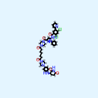 O=C1CCC(Nc2ccc(N3CCN(C(=O)CCCCCC(=O)N4CCN(C(=O)c5cc(NC(=O)c6cc(-c7ccccn7)c(Cl)cc6Cl)n(-c6ccccc6)n5)CC4)CC3)cc2)C(=O)N1